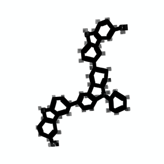 N#Cc1ccc2oc3ccc(-c4ccc5c(c4)c4cc(-c6ccc7oc8ccc(C#N)cc8c7c6)ccc4n5-c4ccccc4)cc3c2c1